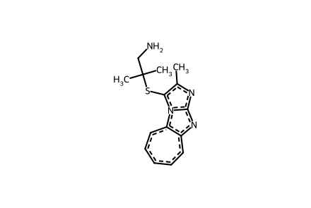 Cc1nc2nc3cccccc3n2c1SC(C)(C)CN